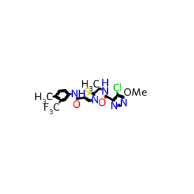 COc1ncnc(C(=O)NC(C)c2ncc(C(=O)Nc3ccc(C)c(C(F)(F)F)c3)s2)c1Cl